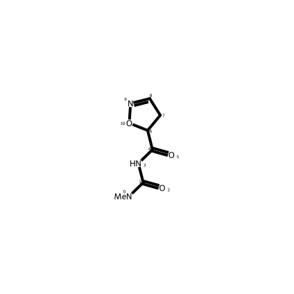 CNC(=O)NC(=O)C1CC=NO1